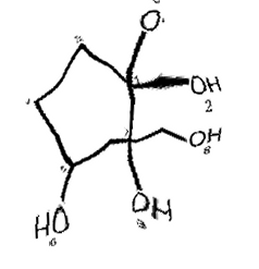 [O]C1(O)CCC(O)C1(O)O